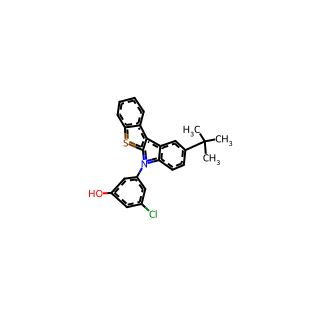 CC(C)(C)c1ccc2c(c1)c1c3ccccc3sc1n2-c1cc(O)cc(Cl)c1